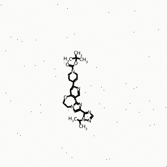 CC(C)n1ncnc1-c1cn2c(n1)-c1cnc(C3=CCN(C(=O)OC(C)(C)C)CC3)cc1OCC2